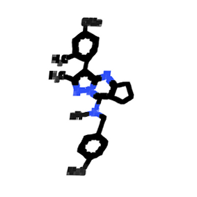 CCCN(Cc1ccc(SC)cc1)c1c2c(nc3c(-c4ccc(OC)cc4C)c(C)nn13)CCC2